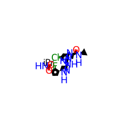 CC(C)NC(=O)O[C@H]1CC[C@@H](c2cc(Nc3nc(Cl)cc4nc(C(=O)NC5CC5)cn34)n[nH]2)[C@@H]1F